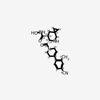 Cc1cc(C#N)ccc1C1=CCN(C(=O)[C@H]2NCC3(CC3)C[C@@H]2C(=O)NO)CC1